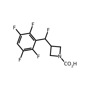 O=C(O)N1CC(C(F)c2c(F)c(F)cc(F)c2F)C1